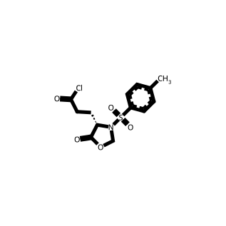 Cc1ccc(S(=O)(=O)N2COC(=O)[C@@H]2CCC(=O)Cl)cc1